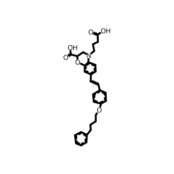 O=C(O)CCCN1CC(C(=O)O)Oc2cc(/C=C/c3ccc(OCCCCc4ccccc4)cc3)ccc21